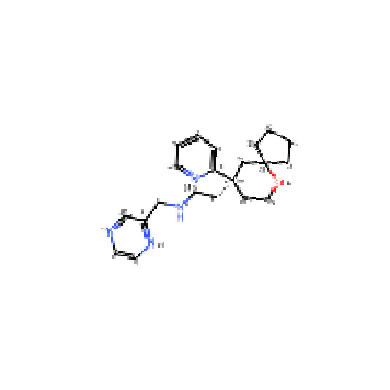 c1ccc([C@]2(CCNCc3cnccn3)CCOC3(CCCC3)C2)nc1